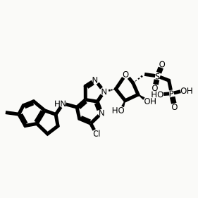 Cc1ccc2c(c1)CCC2Nc1cc(Cl)nc2c1cnn2[C@@H]1O[C@H](CS(=O)(=O)CP(=O)(O)O)[C@@H](O)[C@H]1O